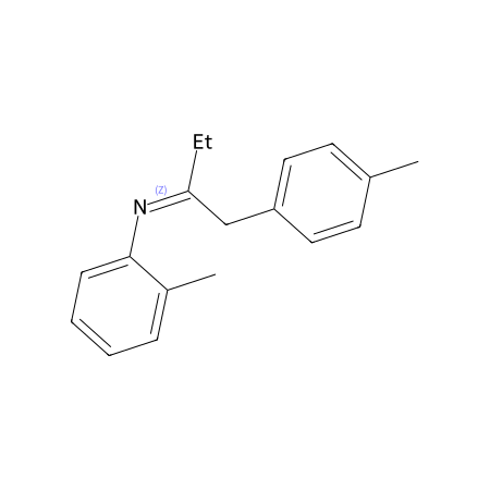 CC/C(Cc1ccc(C)cc1)=N/c1ccccc1C